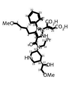 COCCCCC1=C(C(=O)N(CC(C)C)[C@@H]2CNC[C@H](C(O)COC)C2)NN(/C(=C/C(=O)O)C(=O)O)N1c1ccccc1F